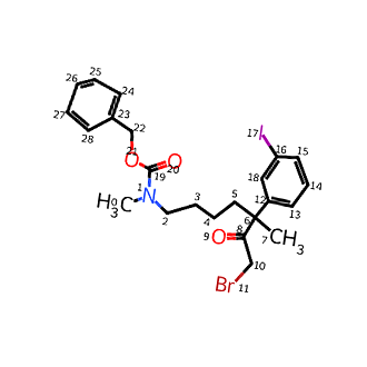 CN(CCCCC(C)(C(=O)CBr)c1cccc(I)c1)C(=O)OCc1ccccc1